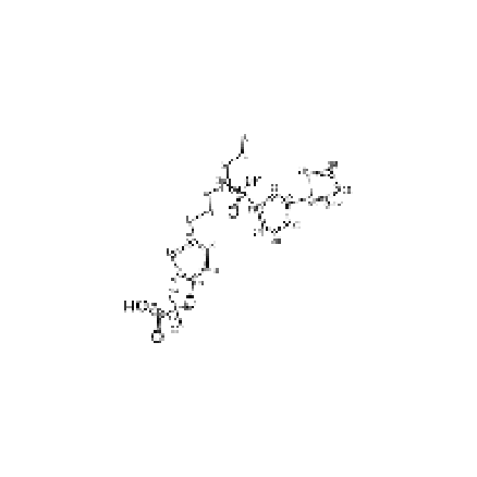 CCCN(CCCc1ccc(OC(C)(C)C(=O)O)cc1)S(=O)(=O)c1cccc(-c2cccs2)c1